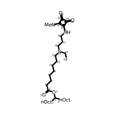 CCCCCCCCC(CCCCCCCC)OC(=O)CCCCCCCN(CI)CCCNc1c(NC)c(=O)c1=O